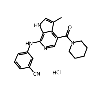 Cc1c[nH]c2c(Nc3cccc(C#N)c3)ncc(C(=O)N3CCCCC3)c12.Cl